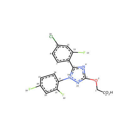 O=C(O)COc1nc(-c2ccc(Cl)cc2F)n(-c2ccc(F)cc2F)n1